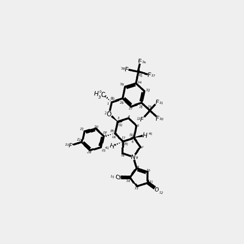 C[C@@H](O[C@H]1CC[C@@H]2CN(C3=CC(=O)CC3=O)C[C@H]2[C@@H]1c1ccc(F)cc1)c1cc(C(F)(F)F)cc(C(F)(F)F)c1